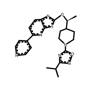 CC(C)c1noc(N2CCC([C@H](C)Oc3nc4ccc(-c5ccncc5)nc4s3)CC2)n1